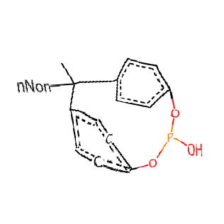 CCCCCCCCCC1(C)c2ccc(cc2)OP(O)Oc2ccc1cc2